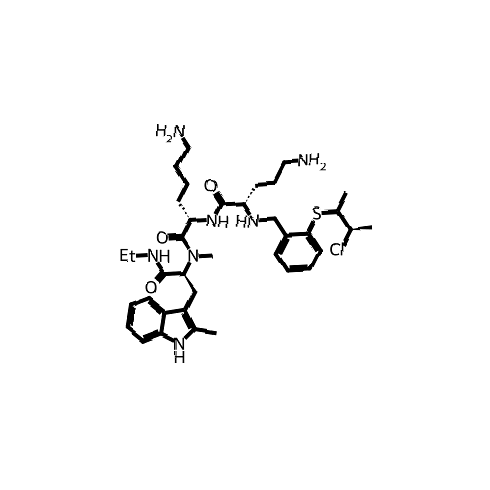 CCNC(=O)[C@H](Cc1c(C)[nH]c2ccccc12)N(C)C(=O)[C@H](CCCCN)NC(=O)[C@H](CCCN)NCc1ccccc1SC(C)[C@@H](C)Cl